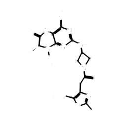 Cc1nc(CC(=O)N2CC(Nc3nc(C)c4c(n3)N(C)[C@@H](C(C)C)C(=O)N4)C2)c(C)s1